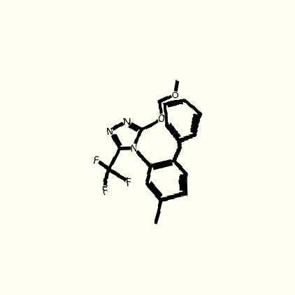 COCOc1nnc(C(F)(F)F)n1-c1cc(C)ccc1-c1ccccc1